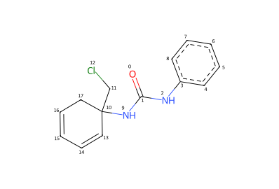 O=C(Nc1ccccc1)NC1(CCl)C=CC=CC1